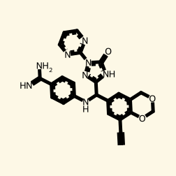 C#Cc1cc(C(Nc2ccc(C(=N)N)cc2)c2nn(-c3ncccn3)c(=O)[nH]2)cc2c1OCOC2